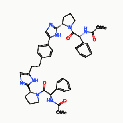 COC(=O)N[C@@H](C(=O)N1CCC[C@H]1c1ncc(CCc2ccc(-c3cnc([C@@H]4CCCN4C(=O)[C@H](NC(=O)OC)c4ccccc4)[nH]3)cc2)[nH]1)c1ccccc1